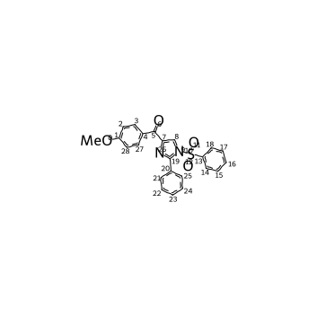 COc1ccc(C(=O)c2cn(S(=O)(=O)c3ccccc3)c(-c3ccccc3)n2)cc1